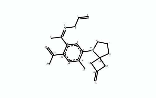 C=CC/N=C(/C)c1cc(N2CCCC23CC(=C)C3)c(C)cc1C(=C)C